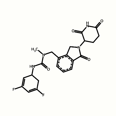 CN(Cc1cccc2c1CN(C1CCC(=O)NC1=O)C2=O)C(=O)NC1C=C(F)C=C(F)C1